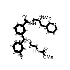 CN[C@H](CNC(=O)c1cccc([C@@H](OCCNC(=O)OC)c2cccc(Cl)c2)c1)CC1CCCOC1